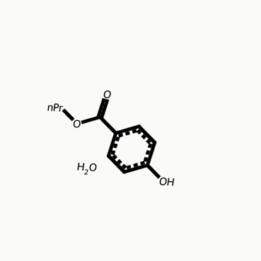 CCCOC(=O)c1ccc(O)cc1.O